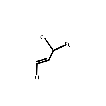 CCC(Cl)/C=C/Cl